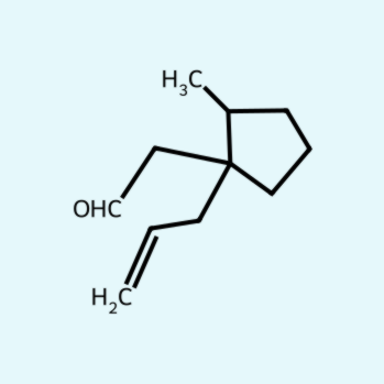 C=CCC1(CC=O)CCCC1C